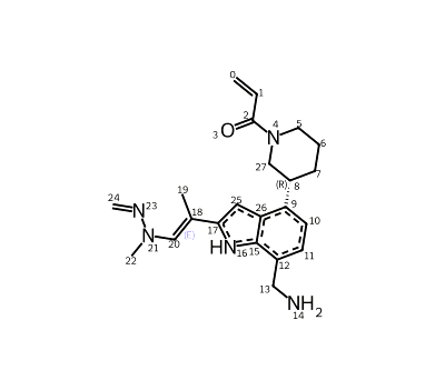 C=CC(=O)N1CCC[C@H](c2ccc(CN)c3[nH]c(/C(C)=C/N(C)N=C)cc23)C1